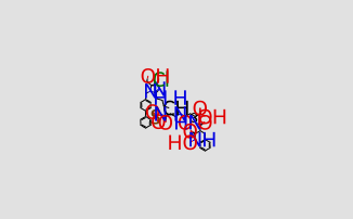 CCCCc1nc(Cl)c(CO)n1Cc1ccc(-c2ccccc2S(=O)(=O)NC(=O)CCNC(=O)CC(NC(=O)C(Cc2ccccc2)C(=O)NO)C(=O)O)cc1